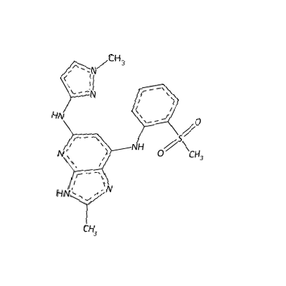 Cc1nc2c(Nc3ccccc3S(C)(=O)=O)cc(Nc3ccn(C)n3)nc2[nH]1